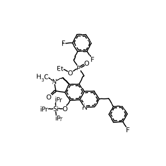 CCOP(=O)(Cc1c(F)cccc1F)Cc1c2c(c(O[Si](C(C)C)(C(C)C)C(C)C)c3ncc(Cc4ccc(F)cc4)cc13)C(=O)N(C)C2